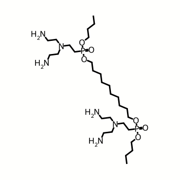 CCCCOP(=O)(CCN(CCN)CCN)OCCCCCCCCCCOP(=O)(CCN(CCN)CCN)OCCCC